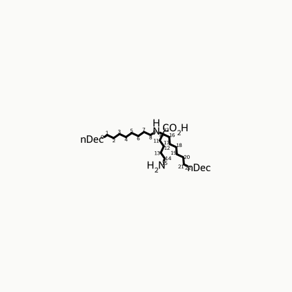 CCCCCCCCCCCCCCCCCCN[C@](CCCCN)(CCCCCCCCCCCCCCCC)C(=O)O